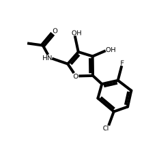 CC(=O)Nc1oc(-c2cc(Cl)ccc2F)c(O)c1O